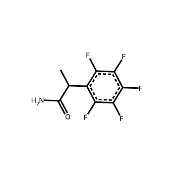 CC(C(N)=O)c1c(F)c(F)c(F)c(F)c1F